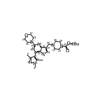 Cc1nn(C)c(C)c1-c1nc(N2CCOCC2)nc2c(CN3CCN(C(=O)OC(C)(C)C)CC3)csc12